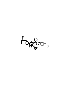 CCOC(=O)c1cc(OCC(F)F)nn1C1CC1